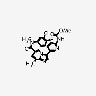 COC(=O)Nc1ccc(-c2cnc3c(C)cc(C(=O)N(C)c4ccc(F)c(Cl)c4)cn23)cn1